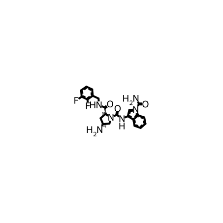 NC(=O)n1cc(NC(=O)N2C[C@@H](N)C[C@H]2C(=O)NCc2cccc(F)c2F)c2ccccc21